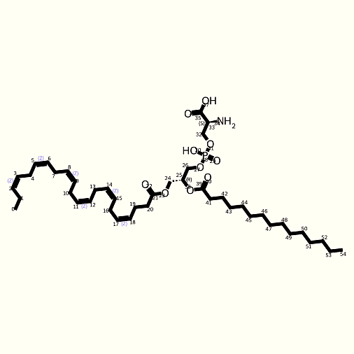 CC/C=C\C/C=C\C/C=C\C/C=C\C/C=C\C/C=C\CCC(=O)OC[C@H](COP(=O)(O)OC[C@H](N)C(=O)O)OC(=O)CCCCCCCCCCCCCC